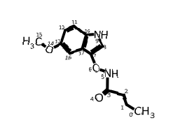 CCCC(=O)NOc1c[nH]c2ccc(OC)cc12